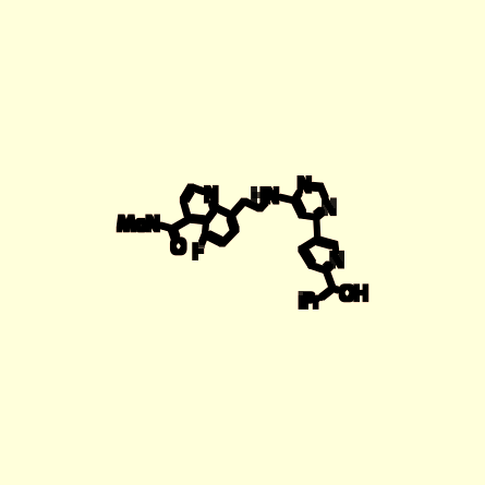 CNC(=O)c1ccnc2c(CCNc3cc(-c4ccc(C(O)C(C)C)nc4)ncn3)ccc(F)c12